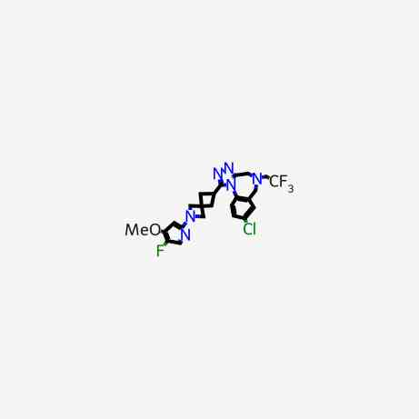 COc1cc(N2CC3(CC(c4nnc5n4-c4ccc(Cl)cc4CN(CC(F)(F)F)C5)C3)C2)ncc1F